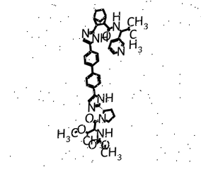 COC(=O)N[C@H](C(=O)N1CCC[C@H]1c1ncc(-c2ccc(-c3ccc(-c4cnc(C5C6CCC(C6)C5C(=O)N[C@H](c5cccnc5)C(C)C)[nH]4)cc3)cc2)[nH]1)[C@@H](C)OC